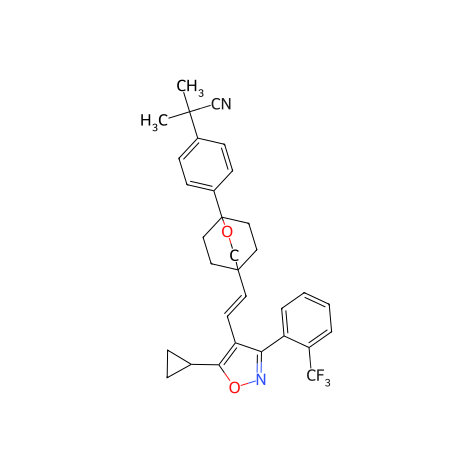 CC(C)(C#N)c1ccc(C23CCC(C=Cc4c(-c5ccccc5C(F)(F)F)noc4C4CC4)(CC2)CO3)cc1